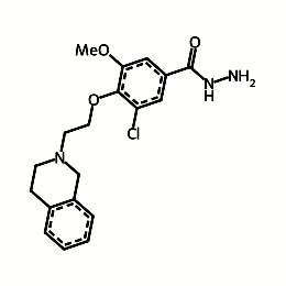 COc1cc(C(=O)NN)cc(Cl)c1OCCN1CCc2ccccc2C1